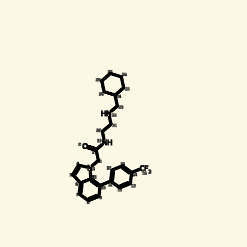 O=C(Cn1ccc2cccc(-c3ccc(C(F)(F)F)cc3)c21)NCCNCC1CCCCC1